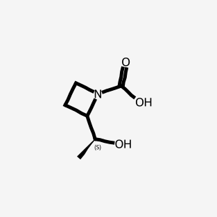 C[C@H](O)C1CCN1C(=O)O